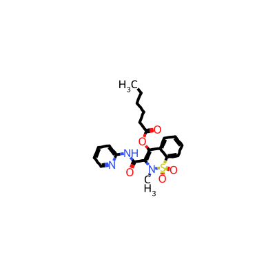 CCCCCC(=O)OC1=C(C(=O)Nc2ccccn2)N(C)S(=O)(=O)c2ccccc21